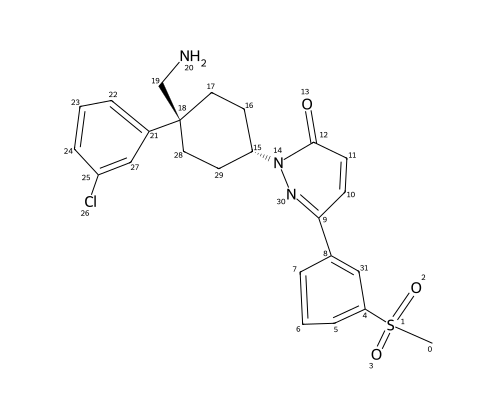 CS(=O)(=O)c1cccc(-c2ccc(=O)n([C@H]3CC[C@@](CN)(c4cccc(Cl)c4)CC3)n2)c1